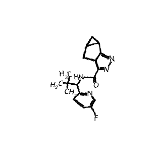 CC(C)(C)C(NC(=O)C1=NN=C2C1CC1CC21)c1ccc(F)cn1